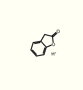 O=C1Cc2ccccc2O1.[H+]